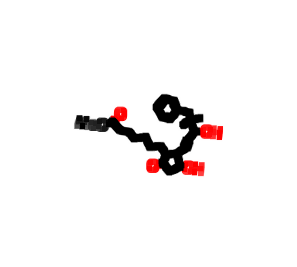 COC(=O)CCCCCCC1C(=O)CC(O)C1C#CC(O)C(C)(C)Cc1ccccc1